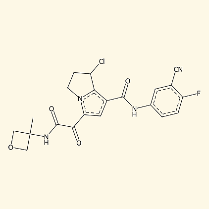 CC1(NC(=O)C(=O)c2cc(C(=O)Nc3ccc(F)c(C#N)c3)c3n2CCC3Cl)COC1